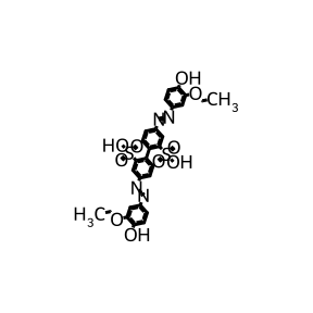 CCOc1cc(/N=N/c2ccc(-c3ccc(/N=N/c4ccc(O)c(OCC)c4)cc3S(=O)(=O)O)c(S(=O)(=O)O)c2)ccc1O